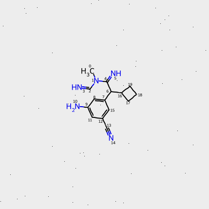 CN(C=N)C(=N)C(c1cc(N)cc(C#N)c1)C1CCC1